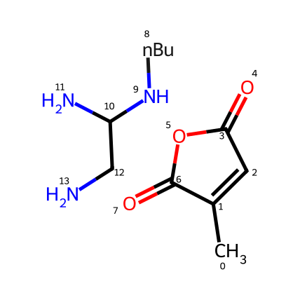 CC1=CC(=O)OC1=O.CCCCNC(N)CN